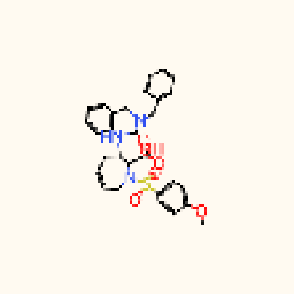 COc1ccc(S(=O)(=O)N2CC=CCC(NC(=O)N(Cc3ccccc3)Cc3ccccc3)C2C(=O)O)cc1